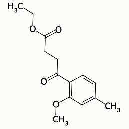 CCOC(=O)CCC(=O)c1ccc(C)cc1OC